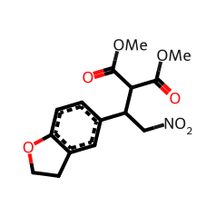 COC(=O)C(C(=O)OC)C(C[N+](=O)[O-])c1ccc2c(c1)CCO2